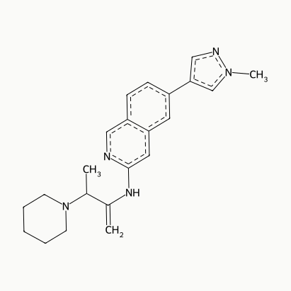 C=C(Nc1cc2cc(-c3cnn(C)c3)ccc2cn1)C(C)N1CCCCC1